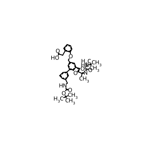 C/C(=N/S(=O)(=O)NC(C)(C)C)c1cc2cc(COc3ccccc3CC(=O)O)cc(-c3cccc(CNC(=O)OC(C)(C)C)c3)c2o1